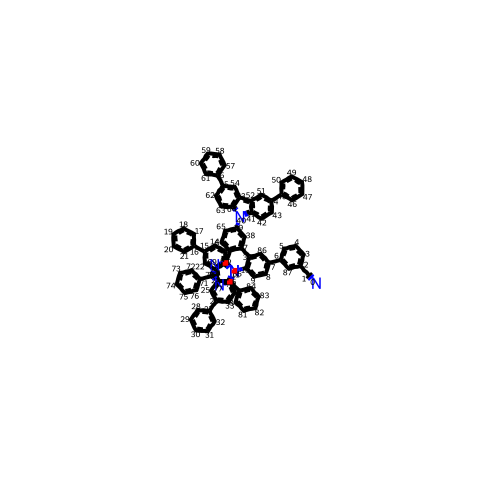 N#Cc1cccc(-c2ccc(-n3c4ccc(-c5ccccc5)cc4c4cc(-c5ccccc5)ccc43)c(-c3cc(-n4c5ccc(-c6ccccc6)cc5c5cc(-c6ccccc6)ccc54)ccc3-c3nc(-c4ccccc4)nc(-c4ccccc4)n3)c2)c1